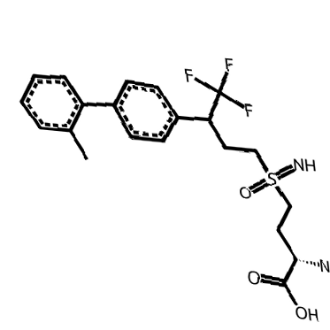 Cc1ccccc1-c1ccc(C(CCS(=N)(=O)CC[C@H](N)C(=O)O)C(F)(F)F)cc1